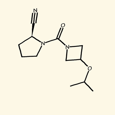 CC(C)OC1CN(C(=O)N2CCC[C@H]2C#N)C1